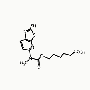 CN(C(=O)OCCCCCC(=O)O)c1ccc2nc(S)sc2n1